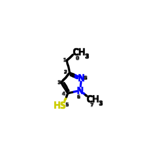 CCc1cc(S)n(C)n1